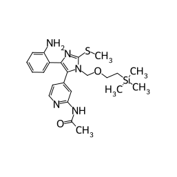 CSc1nc(-c2ccccc2N)c(-c2ccnc(NC(C)=O)c2)n1COCC[Si](C)(C)C